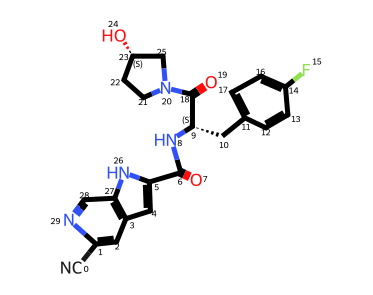 N#Cc1cc2cc(C(=O)N[C@@H](Cc3ccc(F)cc3)C(=O)N3CC[C@H](O)C3)[nH]c2cn1